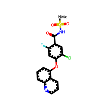 CNS(=O)(=O)NC(=O)c1cc(Cl)c(Oc2cccc3ncccc23)cc1F